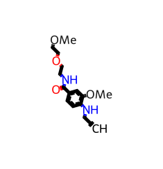 C#CCNc1ccc(C(=O)NCCOCCOC)cc1OC